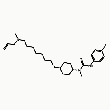 C=CCN(C)CCCCCCCO[C@H]1CC[C@H](N(C)C(=O)Nc2ccc(F)cc2)CC1